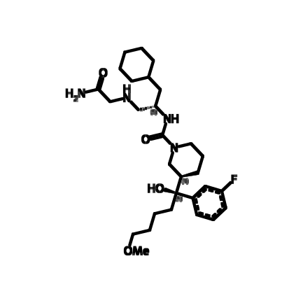 COCCCC[C@@](O)(c1cccc(F)c1)[C@@H]1CCCN(C(=O)N[C@H](CNCC(N)=O)CC2CCCCC2)C1